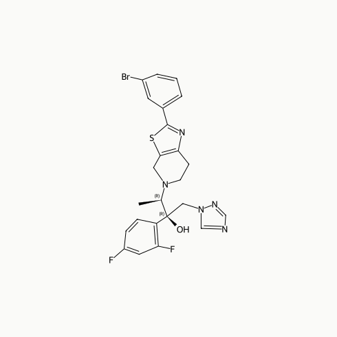 C[C@@H](N1CCc2nc(-c3cccc(Br)c3)sc2C1)[C@](O)(Cn1cncn1)c1ccc(F)cc1F